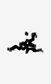 CCCC(=O)[CH]C(C(=O)O)(C(=O)CCC)C(=O)CCC.[Zr]